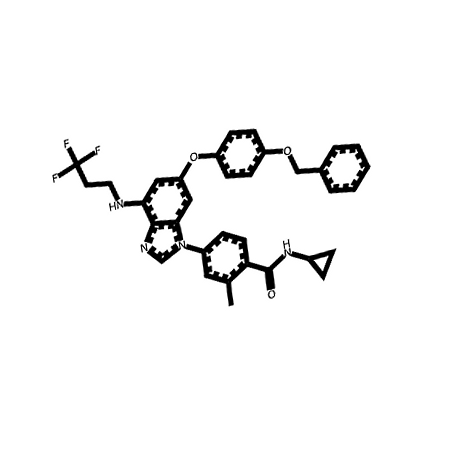 Cc1cc(-n2cnc3c(NCCC(F)(F)F)cc(Oc4ccc(OCc5ccccc5)cc4)cc32)ccc1C(=O)NC1CC1